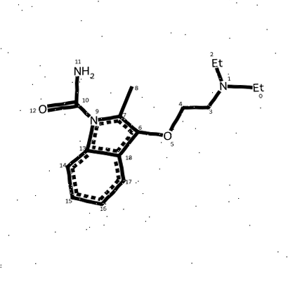 CCN(CC)CCOc1c(C)n(C(N)=O)c2cc[c]cc12